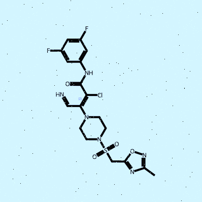 Cc1noc(CS(=O)(=O)N2CCN(/C(C=N)=C(\Cl)C(=O)Nc3cc(F)cc(F)c3)CC2)n1